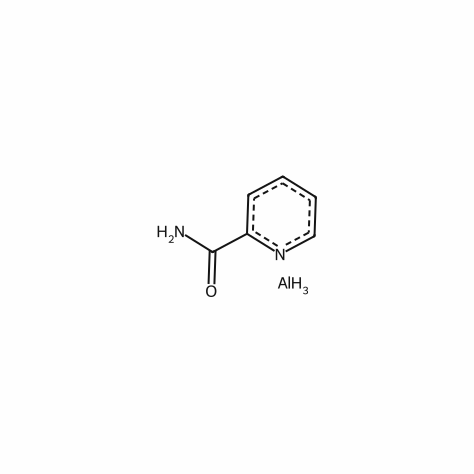 NC(=O)c1ccccn1.[AlH3]